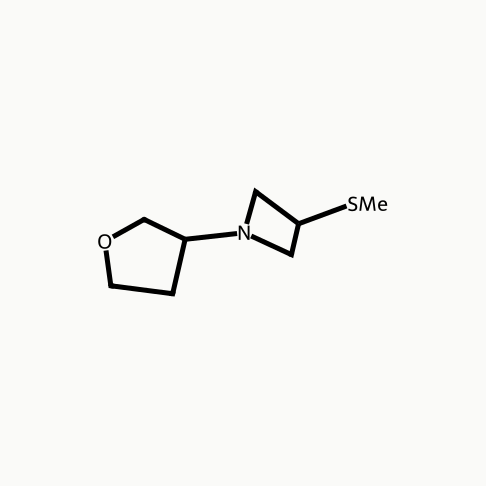 CSC1CN(C2CCOC2)C1